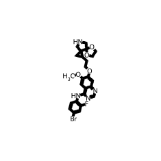 COc1cc2c(Nc3ccc(Br)cc3F)ncnc2cc1OCCC1CC12CNCC21OCCO1